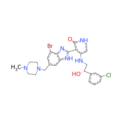 CN1CCN(Cc2cc(Br)c3nc(-c4c(NC[C@@H](O)c5cccc(Cl)c5)cc[nH]c4=O)[nH]c3c2)CC1